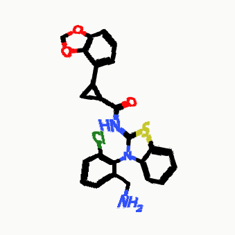 NCc1cccc(Cl)c1N1c2ccccc2SC1NC(=O)C1CC1c1cccc2c1OCO2